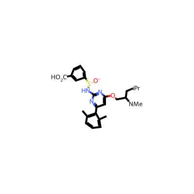 CNC(COc1cc(-c2c(C)cccc2C)nc(N[S+]([O-])c2cccc(C(=O)O)c2)n1)CC(C)C